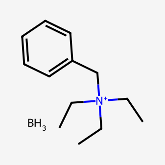 B.CC[N+](CC)(CC)Cc1ccccc1